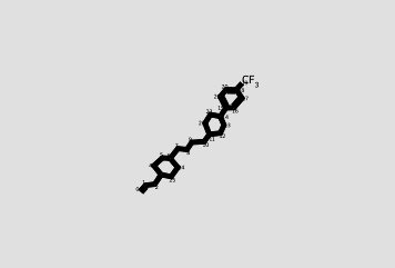 C=CCC1CCC(CCCCC2CCC(c3ccc(C(F)(F)F)cc3)CC2)CC1